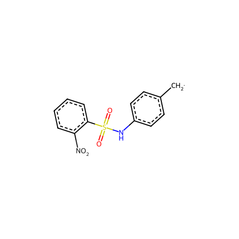 [CH2]c1ccc(NS(=O)(=O)c2ccccc2[N+](=O)[O-])cc1